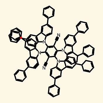 N#Cc1c(-n2c3c#cc(-c4ccccc4)cc3c3cc(-c4ccccc4)ccc32)c(-n2c3ccc(-c4ccccc4)cc3c3cc(-c4ccccc4)ccc32)c(C#N)c(-n2c3c(c4cc(-c5ccccc5)ccc42)C(c2ccccc2)CC=C3)c1-n1c2ccc(-c3ccccc3)cc2c2cc(C3C=CC=CC3)ccc21